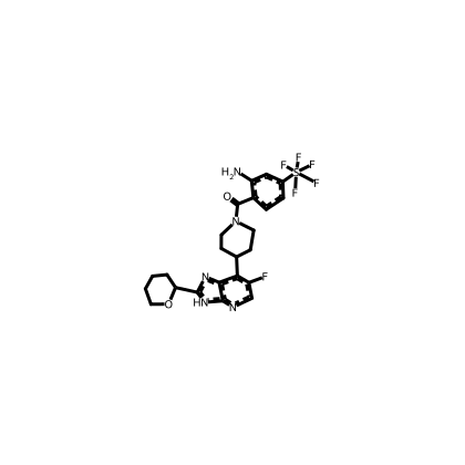 Nc1cc(S(F)(F)(F)(F)F)ccc1C(=O)N1CCC(c2c(F)cnc3[nH]c(C4CCCCO4)nc23)CC1